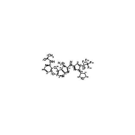 CC(=O)Nc1cc(Oc2cnc3nc(Nc4cc(C(F)(F)C(F)(F)F)n([C@H]5CCOC5)n4)n(C)c3c2Cl)ccn1